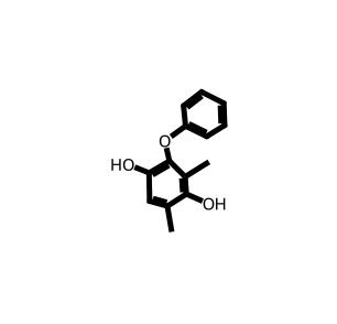 Cc1cc(O)c(Oc2ccccc2)c(C)c1O